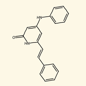 O=c1cc(Nc2ccccc2)cc(C=Cc2ccccc2)[nH]1